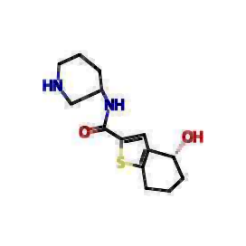 O=C(NC1CCCNC1)c1cc2c(s1)CCC[C@H]2O